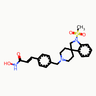 CS(=O)(=O)N1CC2(CCN(Cc3ccc(/C=C/C(=O)NO)cc3)CC2)c2ccccc21